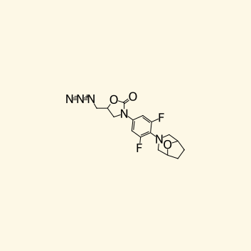 [N-]=[N+]=NCC1CN(c2cc(F)c(N3CC4CCC(C3)O4)c(F)c2)C(=O)O1